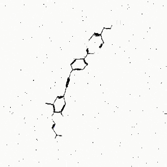 CCCc1cnc(-c2ccc(C#Cc3cc(F)c(O/C=C/C(F)F)c(F)c3)cc2)nc1